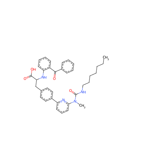 CCCCCCCNC(=O)N(C)c1cccc(-c2ccc(CC(Nc3ccccc3C(=O)c3ccccc3)C(=O)O)cc2)n1